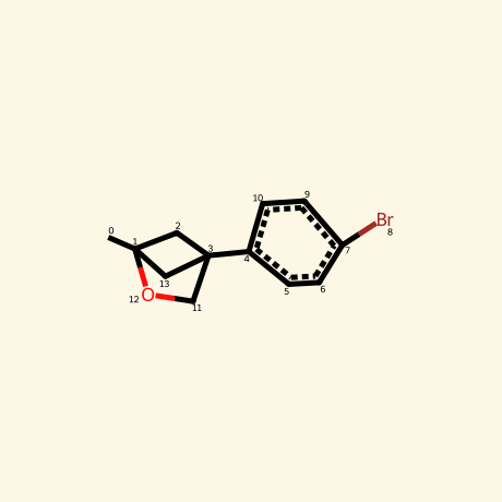 CC12CC(c3ccc(Br)cc3)(CO1)C2